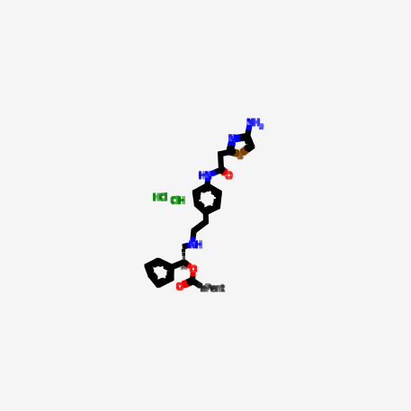 CCCCCC(=O)O[C@@H](CNCCc1ccc(NC(=O)Cc2nc(N)cs2)cc1)c1ccccc1.Cl.Cl